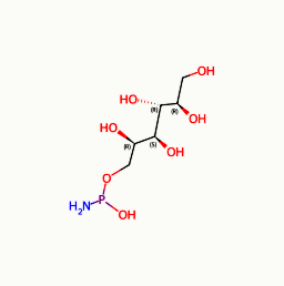 NP(O)OC[C@@H](O)[C@H](O)[C@H](O)[C@H](O)CO